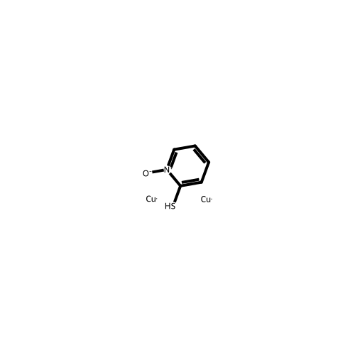 [Cu].[Cu].[O-][n+]1ccccc1S